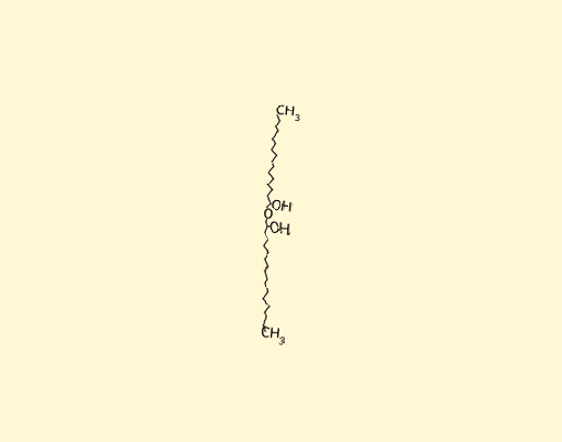 CCCCCCCCCCCCCCCCC(O)COCC(O)CCCCCCCCCCCCCCCC